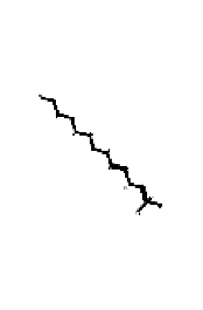 CCCCCCCCC=CCC=C(C)C